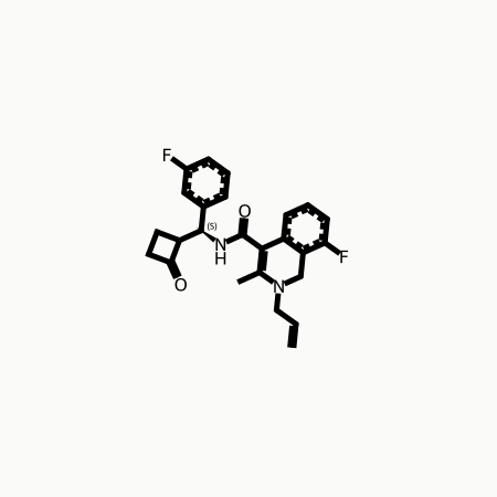 C=CCN1Cc2c(F)cccc2C(C(=O)N[C@H](c2cccc(F)c2)C2CCC2=O)=C1C